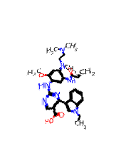 C=CC(=O)Nc1cc(Nc2ncc(C(=O)O)c(-c3cn(CC)c4ccccc34)n2)c(OC)cc1N(C)CCN(C)C